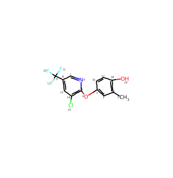 Cc1cc(Oc2ncc(C(F)(F)F)cc2Cl)ccc1O